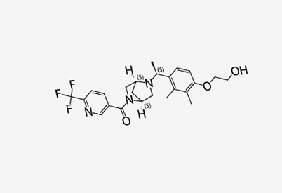 Cc1c(OCCO)ccc([C@H](C)N2C[C@@H]3C[C@H]2CN3C(=O)c2ccc(C(F)(F)F)nc2)c1C